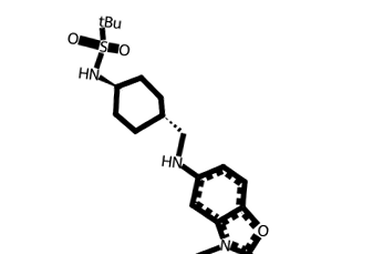 Cn1c(=O)oc2ccc(NC[C@H]3CC[C@H](NS(=O)(=O)C(C)(C)C)CC3)cc21